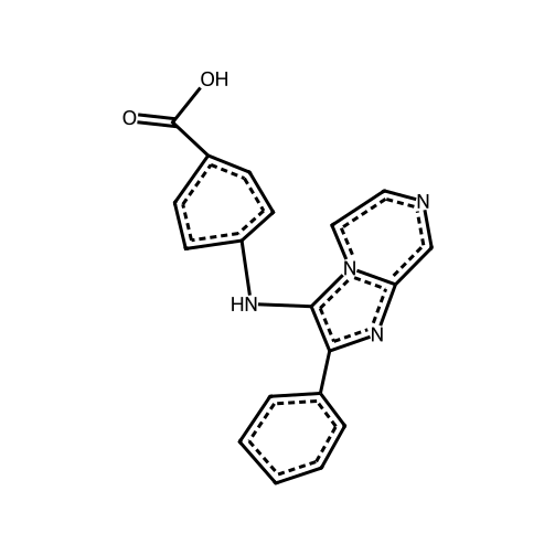 O=C(O)c1ccc(Nc2c(-c3ccccc3)nc3cnccn23)cc1